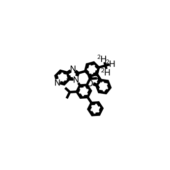 [2H]C([2H])([2H])c1ccc(-c2nc3ccncc3n2-c2c(C(C)C)cc(-c3ccccc3)cc2C(C)C)c2oc3ccccc3c12